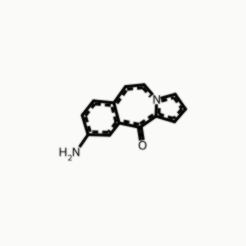 Nc1ccc2ccn3cccc3c(=O)c2c1